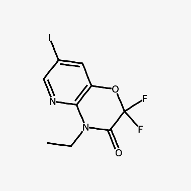 CCN1C(=O)C(F)(F)Oc2cc(I)cnc21